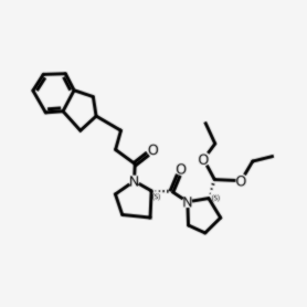 CCOC(OCC)[C@@H]1CCCN1C(=O)[C@@H]1CCCN1C(=O)CCC1Cc2ccccc2C1